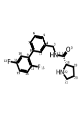 O=C(NCc1cccc(-c2cc(F)ccc2F)c1)[C@@H]1CCCN1